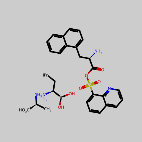 CC(C)C[C@H](N)B(O)O.C[C@H](N)C(=O)O.N[C@@H](Cc1cccc2ccccc12)C(=O)OS(=O)(=O)c1cccc2cccnc12